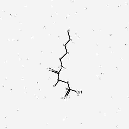 CCCCCOC(=O)C(C)CC(=O)O